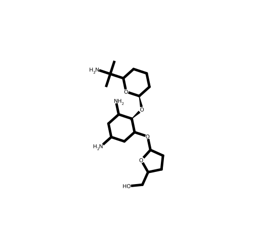 CC(C)(N)C1CCC[C@@H](O[C@@H]2C(N)CC(N)CC2OC2CCC(CO)O2)O1